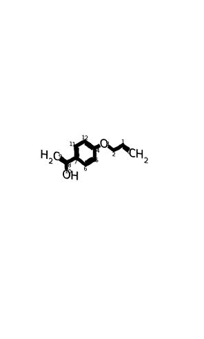 C=CCOc1ccc(C(=C)O)cc1